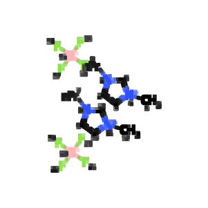 CCCn1cc[n+](C)c1.CCCn1cc[n+](C)c1.F[B-](F)(F)F.F[B-](F)(F)F